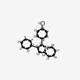 Clc1ccc(-c2c(-c3ccccc3)cc3ccccn23)cc1